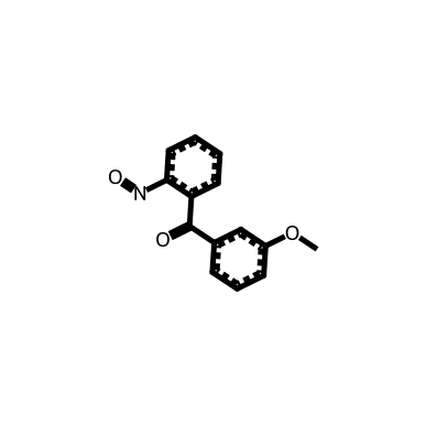 COc1cccc(C(=O)c2ccccc2N=O)c1